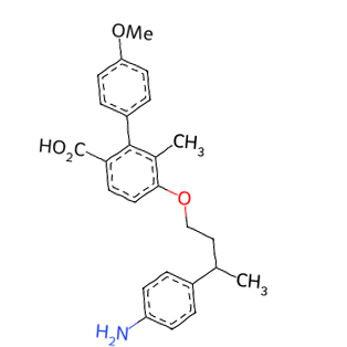 COc1ccc(-c2c(C(=O)O)ccc(OCCC(C)c3ccc(N)cc3)c2C)cc1